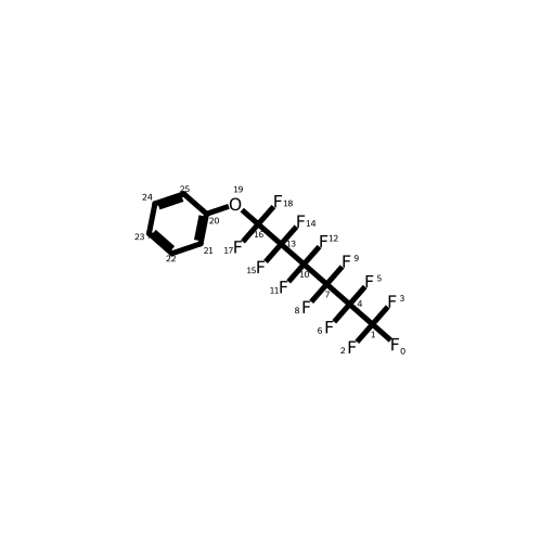 FC(F)(F)C(F)(F)C(F)(F)C(F)(F)C(F)(F)C(F)(F)Oc1cc[c]cc1